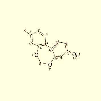 Cc1ccc2c(c1)OCOc1cc(O)ccc1-2